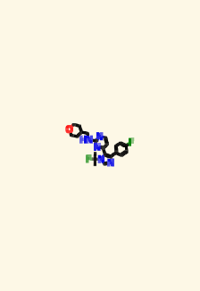 CC(C)(F)n1cnc(-c2ccc(F)cc2)c1-c1ccnc(NCC2CCOCC2)n1